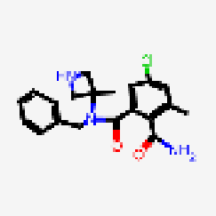 Cc1cc(Cl)cc(C(=O)N(Cc2ccccc2)C2(C)CNC2)c1C(N)=O